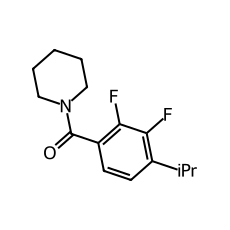 CC(C)c1ccc(C(=O)N2CCCCC2)c(F)c1F